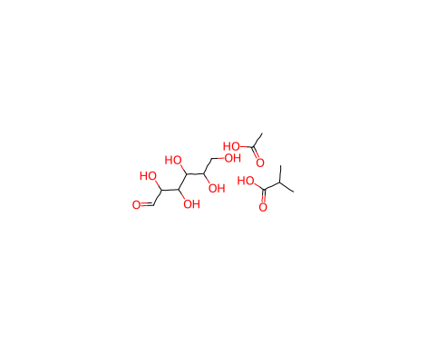 CC(=O)O.CC(C)C(=O)O.O=CC(O)C(O)C(O)C(O)CO